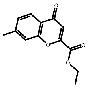 CCOC(=O)c1cc(=O)c2ccc(C)cc2o1